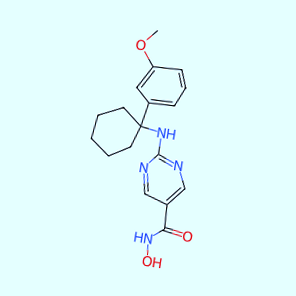 COc1cccc(C2(Nc3ncc(C(=O)NO)cn3)CCCCC2)c1